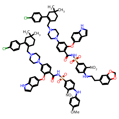 CC1(C)CCC(CN2CCN(c3ccc(C(=O)NS(=O)(=O)c4ccc(NCCc5ccc6c(c5)OCO6)c([N+](=O)[O-])c4)c(Oc4ccc5[nH]ccc5c4)c3)CC2)=C(c2ccc(Cl)cc2)C1.COc1ccc(Nc2ccc(S(=O)(=O)NC(=O)c3ccc(N4CCN(CC5=C(c6ccc(Cl)cc6)CC(C)(C)CC5)CC4)cc3Oc3ccc4[nH]ccc4c3)cc2[N+](=O)[O-])cc1